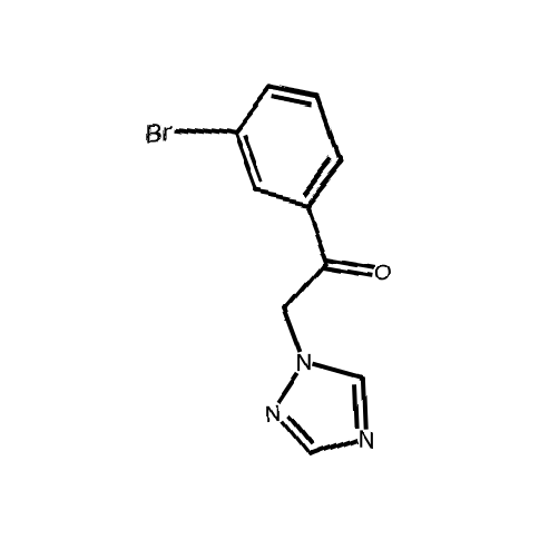 O=C(Cn1cncn1)c1cccc(Br)c1